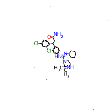 CC1(C)CN(/C(=N\C2CCCCC2)Nc2ccc(C(CC(N)=O)c3ccc(Cl)cc3Cl)cc2)CCN1